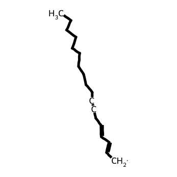 [CH2]C=CC=CCCCCCCCCCCCCC